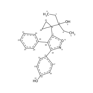 CCC(O)(CC)C1(c2onc(-c3ccc(O)cc3)c2-c2ccccc2)CC1